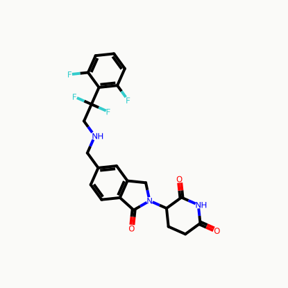 O=C1CCC(N2Cc3cc(CNCC(F)(F)c4c(F)cccc4F)ccc3C2=O)C(=O)N1